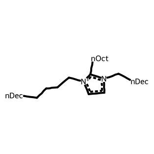 CCCCCCCCCCCCCC[n+]1ccn(CCCCCCCCCCC)c1CCCCCCCC